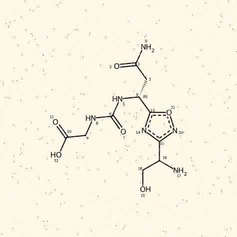 NC(=O)C[C@@H](NC(=O)NCC(=O)O)c1nc(C(N)CO)no1